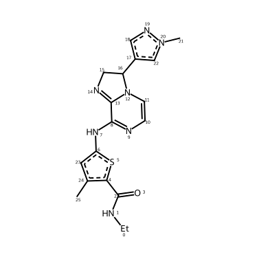 CCNC(=O)c1sc(NC2=NC=CN3C2=NCC3c2cnn(C)c2)cc1C